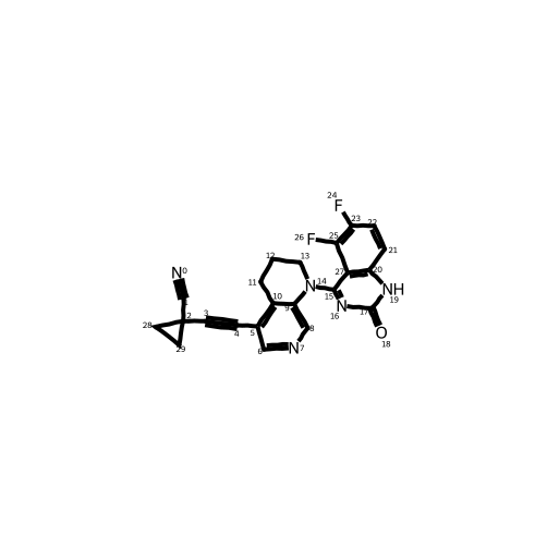 N#CC1(C#Cc2cncc3c2CCCN3c2nc(=O)[nH]c3ccc(F)c(F)c23)CC1